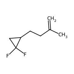 C=C(C)CCC1CC1(F)F